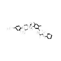 CCCc1ccc(N2CCN(S(=O)(=O)c3cc(CN[C@@H](C)CNc4ccccc4C#N)c(C)cc3C)[C@@H](C)C2)c(C#N)c1